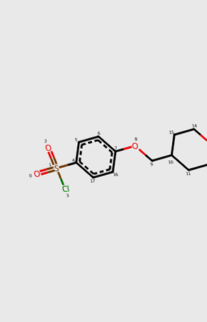 O=S(=O)(Cl)c1ccc(OCC2CCOCC2)cc1